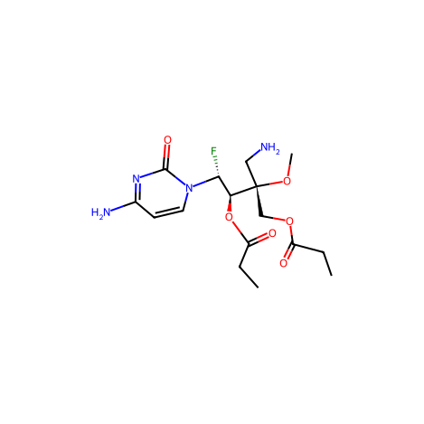 CCC(=O)OC[C@@](CN)(OC)[C@@H](OC(=O)CC)[C@@H](F)n1ccc(N)nc1=O